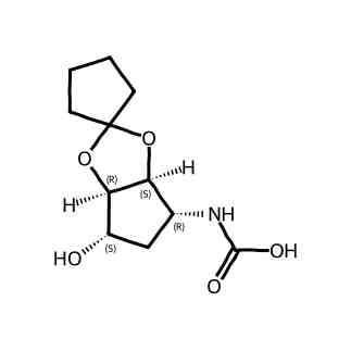 O=C(O)N[C@@H]1C[C@H](O)[C@H]2OC3(CCCC3)O[C@H]21